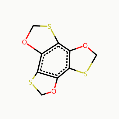 C1Oc2c(c3c(c4c2SCO4)SCO3)S1